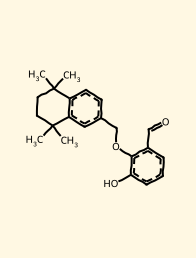 CC1(C)CCC(C)(C)c2cc(COc3c(O)cccc3C=O)ccc21